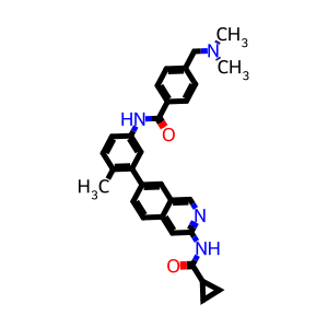 Cc1ccc(NC(=O)c2ccc(CN(C)C)cc2)cc1-c1ccc2cc(NC(=O)C3CC3)ncc2c1